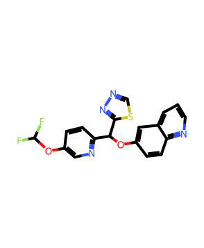 FC(F)Oc1ccc(C(Oc2ccc3ncccc3c2)c2nncs2)nc1